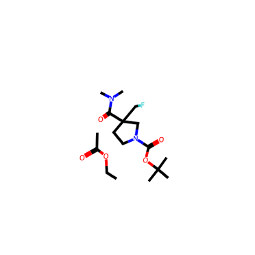 CCOC(C)=O.CN(C)C(=O)C1(CF)CCN(C(=O)OC(C)(C)C)C1